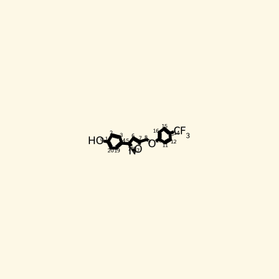 Oc1ccc(-c2cc(COc3ccc(C(F)(F)F)cc3)on2)cc1